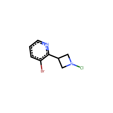 ClN1CC(c2ncccc2Br)C1